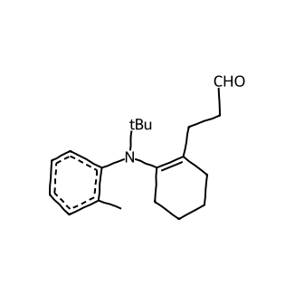 Cc1ccccc1N(C1=C(CCC=O)CCCC1)C(C)(C)C